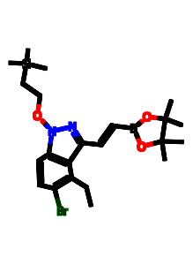 CCc1c(Br)ccc2c1c(C=CB1OC(C)(C)C(C)(C)O1)nn2OCC[Si](C)(C)C